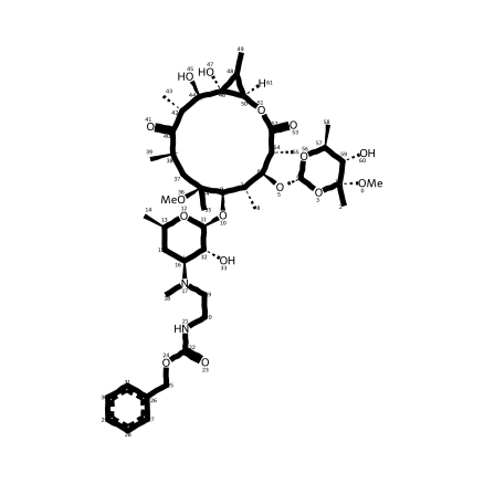 CO[C@]1(C)O[C@H](O[C@H]2[C@H](C)[C@@H](O[C@@H]3O[C@H](C)C[C@H](N(C)CCNC(=O)OCc4ccccc4)[C@H]3O)[C@@](C)(OC)C[C@@H](C)C(=O)[C@H](C)[C@@H](O)[C@@]3(O)C(C)[C@H]3OC(=O)[C@@H]2C)O[C@@H](C)[C@@H]1O